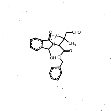 CC(C)(CC=O)C(C(=O)OCc1ccccc1)N1C(=O)c2ccccc2C1O